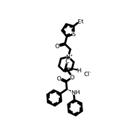 CCc1ccc(C(=O)C[N+]23CCC(CC2)[C@@H](OC(=O)[C@H](Nc2ccccc2)c2ccccc2)C3)s1.[Cl-]